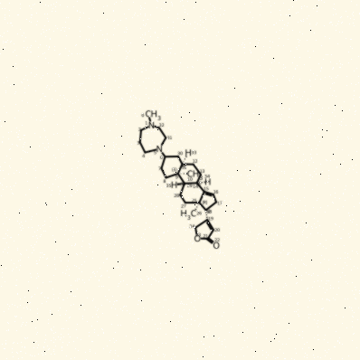 CN1CCCN(C2CC[C@@]3(C)[C@H](CC[C@H]4C5=CC[C@H](C6=CC(=O)OC6)[C@@]5(C)CC[C@@H]43)C2)CC1